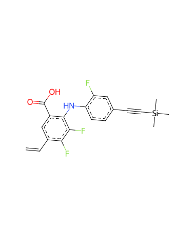 C=Cc1cc(C(=O)O)c(Nc2ccc(C#C[Si](C)(C)C)cc2F)c(F)c1F